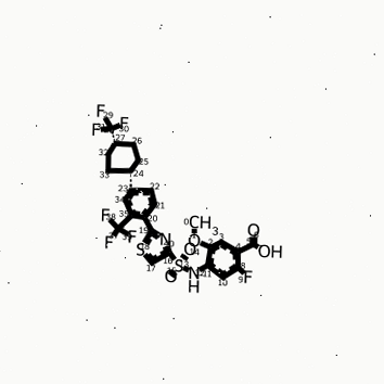 COc1cc(C(=O)O)c(F)cc1NS(=O)(=O)c1csc(-c2ccc([C@H]3CC[C@@H](C(F)(F)F)CC3)cc2C(F)(F)F)n1